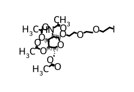 CC(=O)N[C@H]1[C@H](OCCOCCOCCI)O[C@H](COC(C)=O)[C@H](OC(C)=O)[C@@H]1OC(C)=O